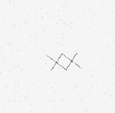 CC1(C)[CH]C(C)(C)C1